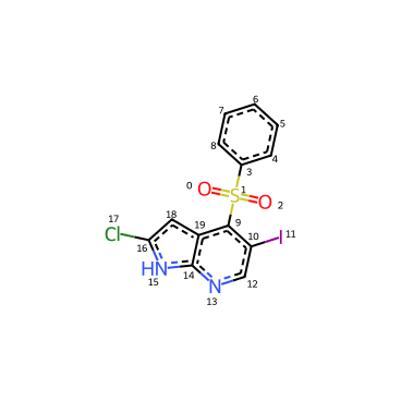 O=S(=O)(c1ccccc1)c1c(I)cnc2[nH]c(Cl)cc12